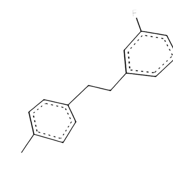 Cc1ccc(CCc2cccc(F)c2)cc1